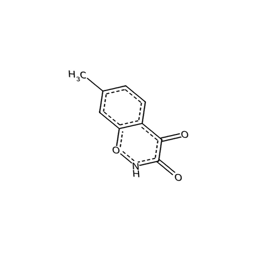 Cc1ccc2c(=O)c(=O)[nH]oc2c1